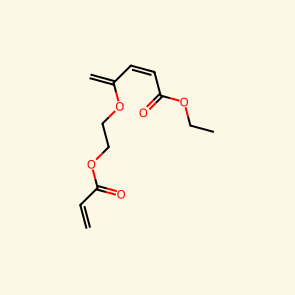 C=CC(=O)OCCOC(=C)/C=C\C(=O)OCC